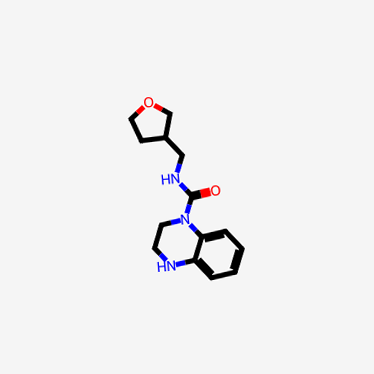 O=C(NCC1CCOC1)N1CCNc2ccccc21